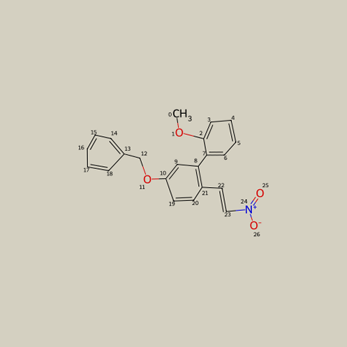 COc1ccccc1-c1cc(OCc2ccccc2)ccc1C=C[N+](=O)[O-]